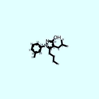 CCCCc1c(CC(C)C)c(O)nn1-c1cccc(C)c1